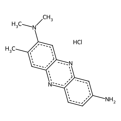 Cc1cc2nc3ccc(N)cc3nc2cc1N(C)C.Cl